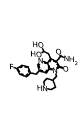 NC(=O)c1c(CC(O)O)c2ncc(Cc3ccc(F)cc3)cc2n(CC2CCNCC2)c1=O